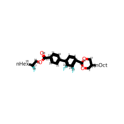 CCCCCCCCC1COC(c2ccc(-c3ccc(C(=O)OCC(F)CCCCCC)cc3)c(F)c2F)OC1